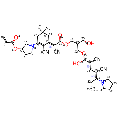 C=CC(=O)OC1CCN(C2=C(C#N)/C(=C(\C#N)C(=O)OCC(CO)COC(O)/C(C#N)=C/C(C#N)=C(\CC(C)(C)C)N3CCCC3)CC(C)(C)C2)C1